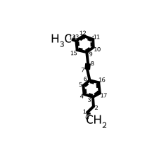 C=CCc1ccc(C#Cc2c[c]cc(C)c2)cc1